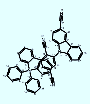 N#Cc1cc(-c2ccccc2[Si](c2ccccc2)(c2ccccc2)c2ccccc2)c(C#N)c(-n2c3ccccc3c3cc(C#N)ccc32)c1